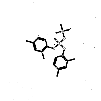 Cc1ccc(O[Si](C)(Oc2ccc(C)cc2C)O[Si](C)(C)C)c(C)c1